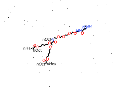 CCCCCCCCC(CCCCCC)C(=O)OCCCCCCOCC(OCCCCCCOC(=O)C(CCCCCC)CCCCCCCC)C(=O)N(CCCCCCCC)CCOCCOCCOCCOCCNC(=O)c1c[nH]cn1